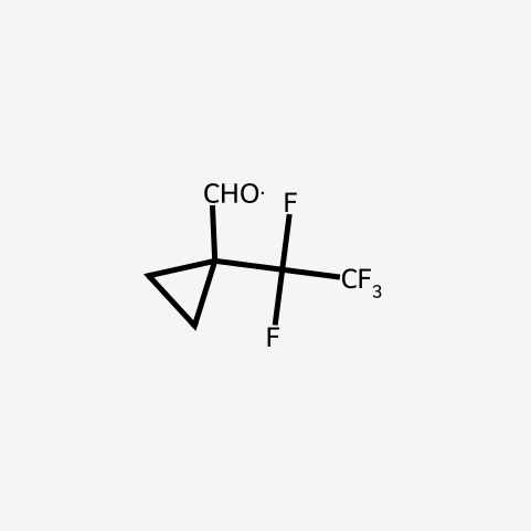 O=[C]C1(C(F)(F)C(F)(F)F)CC1